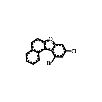 Clc1cc(Br)c2c(c1)oc1ccc3ccccc3c12